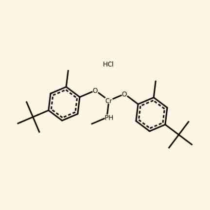 C[PH][Cr]([O]c1ccc(C(C)(C)C)cc1C)[O]c1ccc(C(C)(C)C)cc1C.Cl